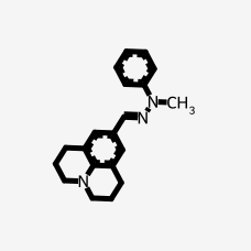 CN(/N=C/c1cc2c3c(c1)CCCN3CCC2)c1ccccc1